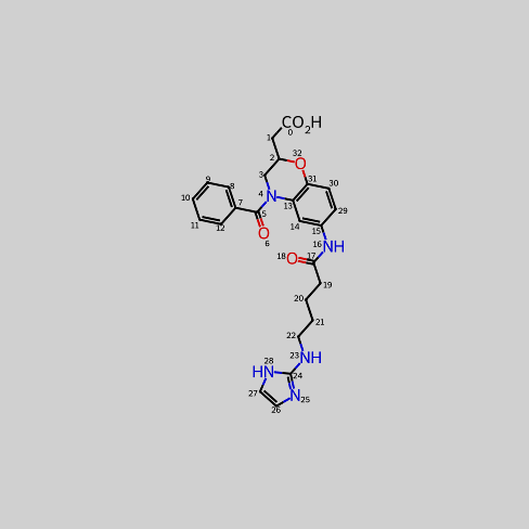 O=C(O)CC1CN(C(=O)c2ccccc2)c2cc(NC(=O)CCCCNc3ncc[nH]3)ccc2O1